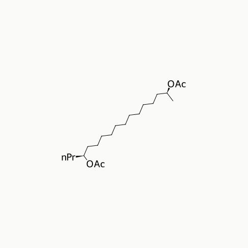 CCC[C@@H](CCCCCCCCCCC[C@H](C)OC(C)=O)OC(C)=O